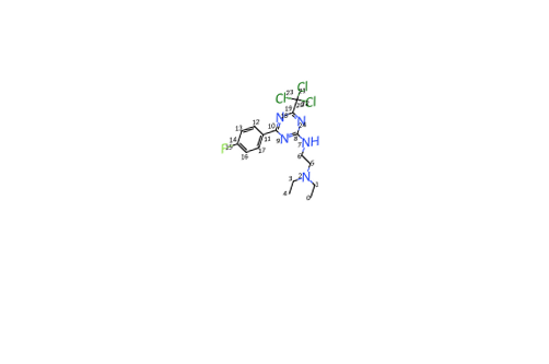 CCN(CC)CCNc1nc(-c2ccc(F)cc2)nc(C(Cl)(Cl)Cl)n1